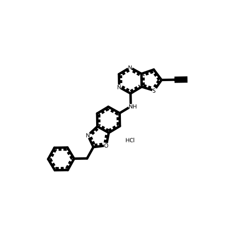 C#Cc1cc2ncnc(Nc3ccc4nc(Cc5ccccc5)oc4c3)c2s1.Cl